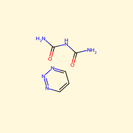 NC(=O)NC(N)=O.c1cnnnc1